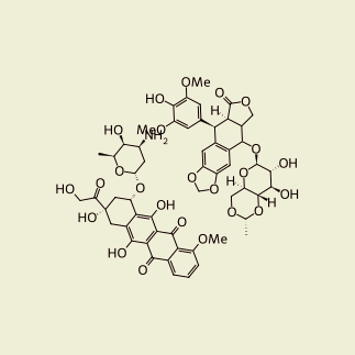 COc1cc([C@@H]2c3cc4c(cc3C(O[C@@H]3O[C@@H]5CO[C@@H](C)O[C@H]5[C@H](O)[C@H]3O)C3COC(=O)[C@@H]32)OCO4)cc(OC)c1O.COc1cccc2c1C(=O)c1c(O)c3c(c(O)c1C2=O)C[C@@](O)(C(=O)CO)C[C@@H]3O[C@H]1C[C@H](N)[C@H](O)[C@H](C)O1